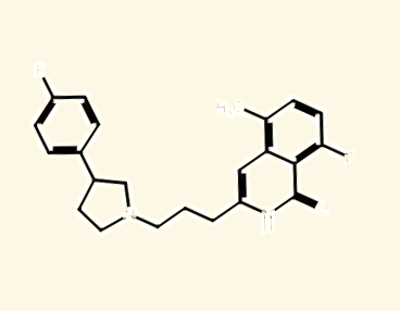 Cc1ccc(F)c2c(=O)[nH]c(CCCN3CCC(c4ccc(F)cc4)C3)cc12